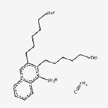 C=O.CCCCCCCCCCCCCCCc1cc2ccccc2c(S(=O)(=O)O)c1CCCCCCCCCCCCCCC